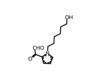 O=CC(=O)c1cccn1CCCCCCO